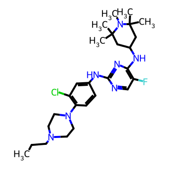 CCCN1CCN(c2ccc(Nc3ncc(F)c(NC4CC(C)(C)N(C)C(C)(C)C4)n3)cc2Cl)CC1